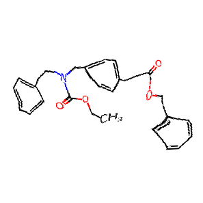 CCOC(=O)N(Cc1ccccc1)Cc1ccc(C(=O)OCc2ccccc2)cc1